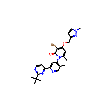 Cc1cnc(-c2ccnc(C(C)(C)C)n2)cc1-n1c(C)cc(OCc2ccn(C)n2)c(Br)c1=O